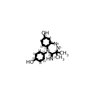 CC1(C)N=Nc2cc(O)ccc2N(c2ccc(O)cc2)C1=N